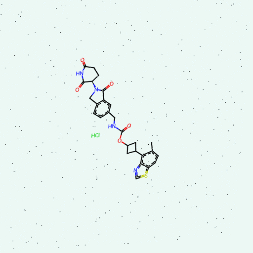 Cc1ccc2scnc2c1C1CC(OC(=O)NCc2ccc3c(c2)C(=O)N([C@@H]2CCC(=O)NC2=O)C3)C1.Cl